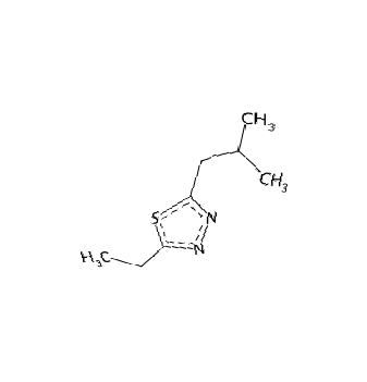 CCc1nnc(CC(C)C)s1